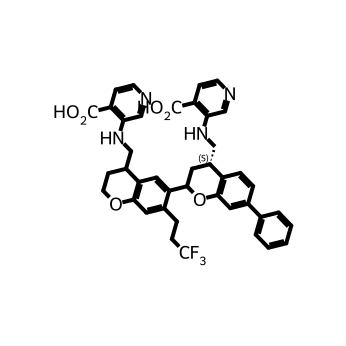 O=C(O)c1ccncc1NCC1CCOc2cc(CCC(F)(F)F)c(C3C[C@H](CNc4cnccc4C(=O)O)c4ccc(-c5ccccc5)cc4O3)cc21